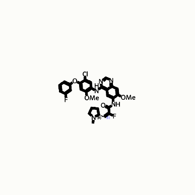 COc1cc2ncnc(Nc3cc(Cl)c(Oc4cccc(F)c4)cc3OC)c2cc1NC(=O)/C(F)=C\[C@H]1CCCN1C